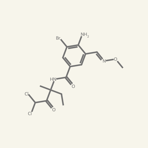 CCC(C)(NC(=O)c1cc(Br)c(N)c(C=NOC)c1)C(=O)C(Cl)Cl